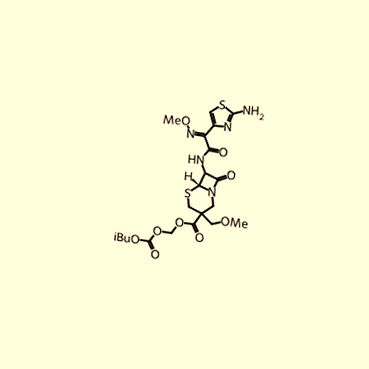 COCC1(C(=O)OCOC(=O)OCC(C)C)CS[C@@H]2C(NC(=O)C(=NOC)c3csc(N)n3)C(=O)N2C1